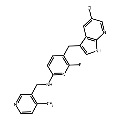 Fc1nc(NCc2cnccc2C(F)(F)F)ccc1Cc1c[nH]c2ncc(Cl)cc12